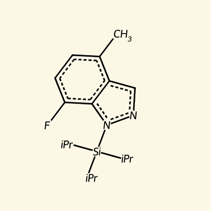 Cc1ccc(F)c2c1cnn2[Si](C(C)C)(C(C)C)C(C)C